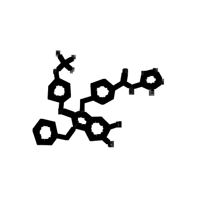 O=C(Nc1nnn[nH]1)c1ccc(Cn2c(=Nc3ccc(OC(F)(F)F)cc3)n(Cc3ccccc3)c3cc(Cl)c(Cl)cc32)cc1